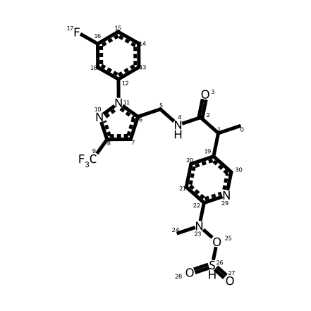 CC(C(=O)NCc1cc(C(F)(F)F)nn1-c1cccc(F)c1)c1ccc(N(C)O[SH](=O)=O)nc1